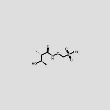 C[C@H](C(=O)NOCS(=O)(=O)O)[C@@H](C)O